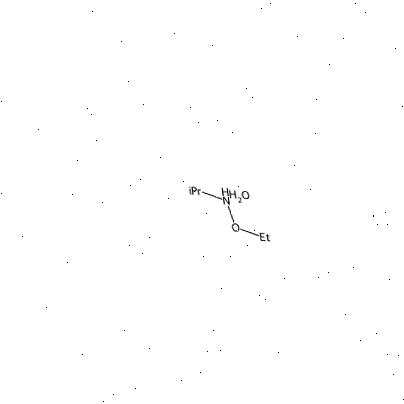 CCONC(C)C.O